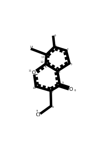 Cc1ccc2c(=O)c(CCl)coc2c1C